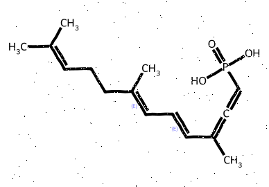 CC(=C=CP(=O)(O)O)/C=C/C=C(\C)CCC=C(C)C